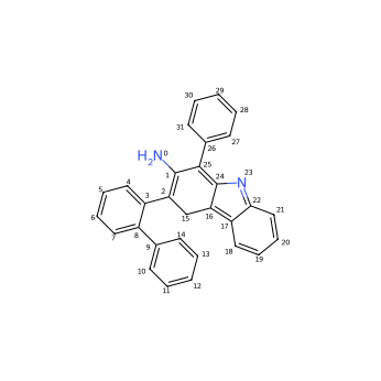 NC1=C(c2ccccc2-c2ccccc2)CC2=c3ccccc3=NC2=C1c1ccccc1